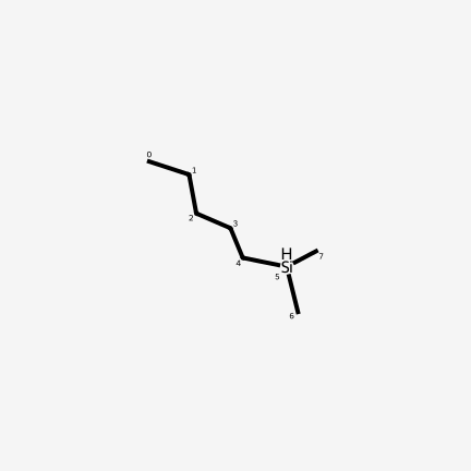 CCCCC[SiH](C)C